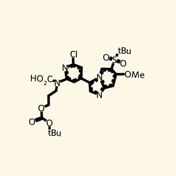 COc1cc2ncc(-c3cc(Cl)nc(N(CCCOC(=O)OC(C)(C)C)C(=O)O)c3)n2cc1S(=O)(=O)C(C)(C)C